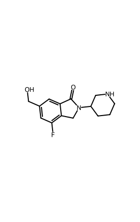 O=C1c2cc(CO)cc(F)c2CN1C1CCCNC1